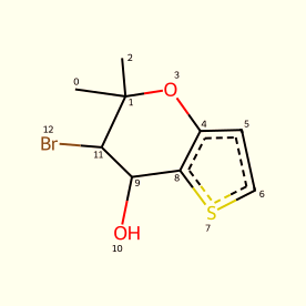 CC1(C)Oc2ccsc2C(O)C1Br